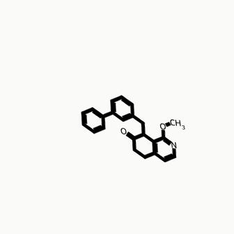 COc1nccc2c1C(Cc1cccc(-c3ccccc3)c1)C(=O)CC2